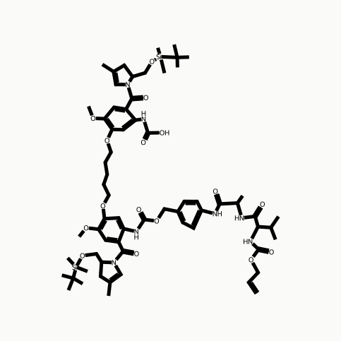 C=CCOC(=O)NC(C(=O)NC(C)C(=O)Nc1ccc(COC(=O)Nc2cc(OCCCCCOc3cc(NC(=O)O)c(C(=O)N4C=C(C)CC4CO[Si](C)(C)C(C)(C)C)cc3OC)c(OC)cc2C(=O)N2C=C(C)CC2CO[Si](C)(C)C(C)(C)C)cc1)C(C)C